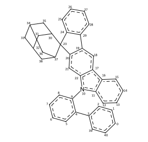 c1ccc(-c2ccccc2-n2c3ccccc3c3cc4c(cc32)C2(c3ccccc3-4)C3CC4CC(C3)CC2C4)cc1